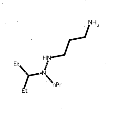 [CH2]CC(CC)N(CCC)NCCCN